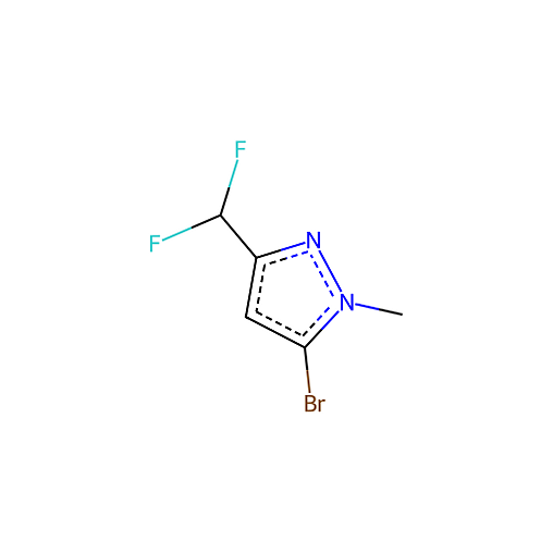 Cn1nc(C(F)F)cc1Br